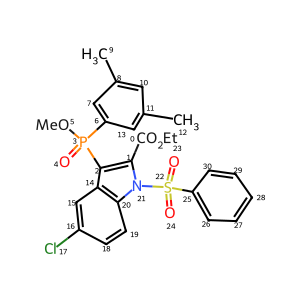 CCOC(=O)c1c(P(=O)(OC)c2cc(C)cc(C)c2)c2cc(Cl)ccc2n1S(=O)(=O)c1ccccc1